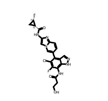 O=C(CCO)Nc1c(F)c(Cl)c(-c2ccc3nc(NC(=O)[C@@H]4C[C@@H]4F)cn3c2)c2cn[nH]c12